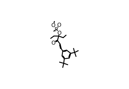 CCC(CC)(OP(C)(=O)OC)C(=O)C=Cc1cc(C(C)(C)C)cc(C(C)(C)C)c1